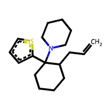 C=CCC1CCCCC1(c1cccs1)N1CCCCC1